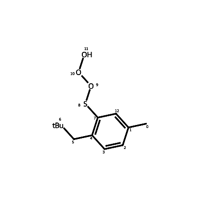 Cc1ccc(CC(C)(C)C)c(SOOO)c1